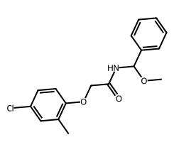 COC(NC(=O)COc1ccc(Cl)cc1C)c1ccccc1